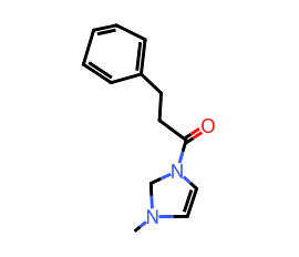 CN1C=CN(C(=O)CCc2ccccc2)C1